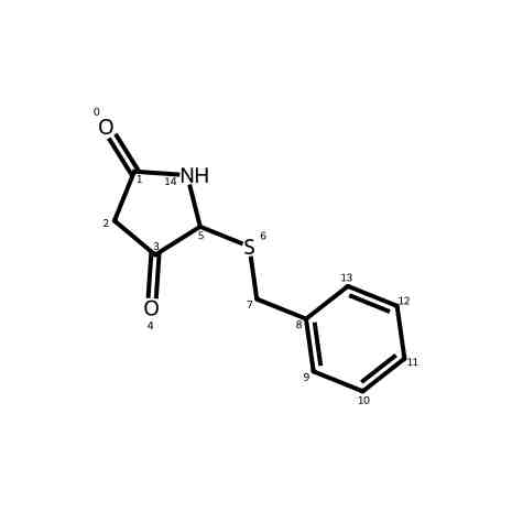 O=C1CC(=O)C(SCc2ccccc2)N1